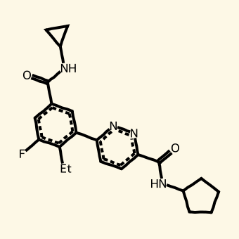 CCc1c(F)cc(C(=O)NC2CC2)cc1-c1ccc(C(=O)NC2CCCC2)nn1